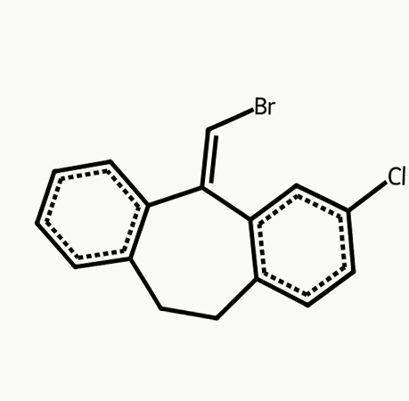 Clc1ccc2c(c1)C(=CBr)c1ccccc1CC2